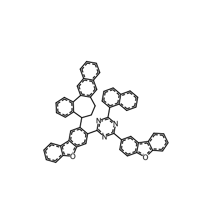 c1ccc2c(c1)-c1cc3ccccc3cc1CCC2c1cc2c(cc1-c1nc(-c3ccc4oc5ccccc5c4c3)nc(-c3cccc4ccccc34)n1)oc1ccccc12